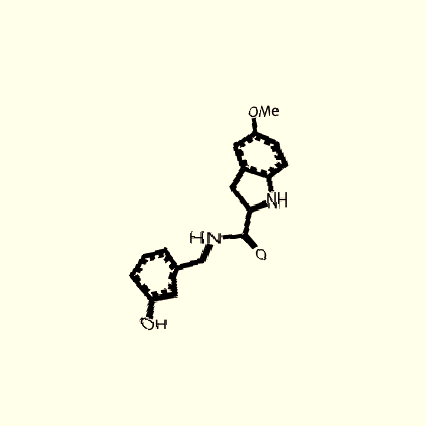 COc1ccc2c(c1)CC(C(=O)NCc1cccc(O)c1)N2